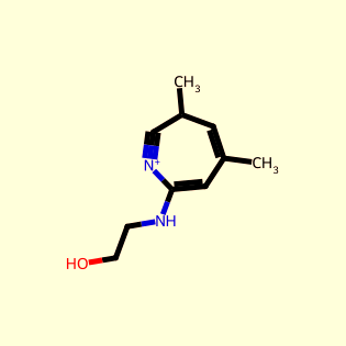 CC1=CC(C)C#[N+]C(NCCO)=C1